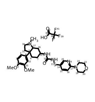 COc1ccc(C23CCC(NC(=O)NSc4ccc(N5CCOCC5)nc4)CC2N(C)CC3)cc1OC.O=C(O)C(F)(F)F